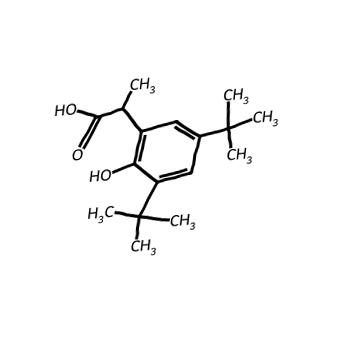 CC(C(=O)O)c1cc(C(C)(C)C)cc(C(C)(C)C)c1O